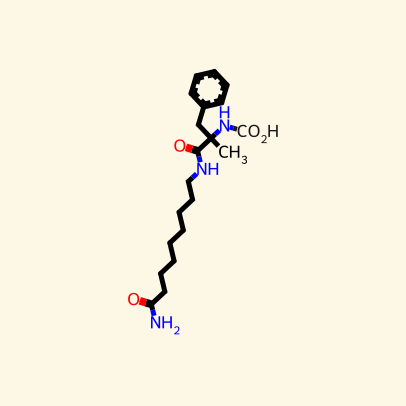 CC(Cc1ccccc1)(NC(=O)O)C(=O)NCCCCCCCCC(N)=O